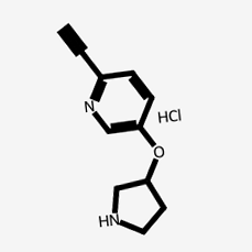 C#Cc1ccc(OC2CCNC2)cn1.Cl